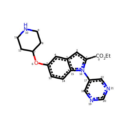 CCOC(=O)c1cc2cc(OC3CCNCC3)ccc2n1-c1cncnc1